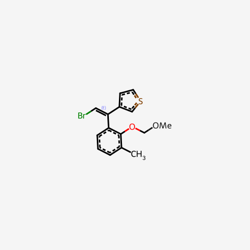 COCOc1c(C)cccc1/C(=C\Br)c1ccsc1